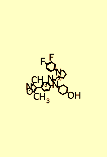 Cc1noc(C)c1-c1ccc2c(c1)nc([C@@H]1CCCN1c1ccc(F)c(F)c1)n2[C@H]1CC[C@@H](O)CC1